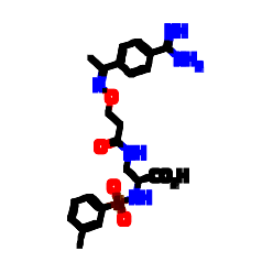 CC(=NOCCC(=O)NC[C@H](NS(=O)(=O)c1cccc(C)c1)C(=O)O)c1ccc(C(=N)N)cc1